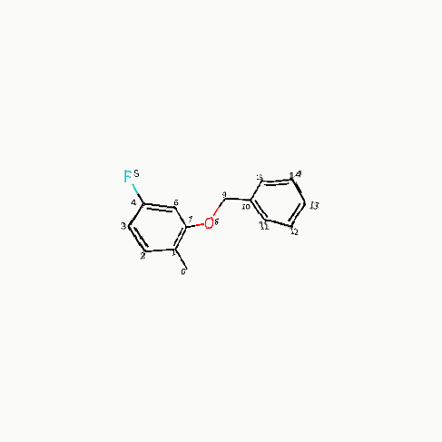 Cc1ccc(F)cc1OCc1ccccc1